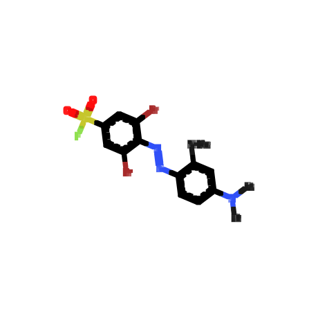 CCN(CC)c1ccc(N=Nc2c(Br)cc(S(=O)(=O)F)cc2Br)c(NC(C)=O)c1